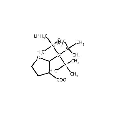 C[Si](C)(C)[Si](C1OCCC1C(=O)[O-])([Si](C)(C)C)[Si](C)(C)C.[Li+]